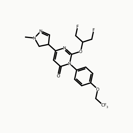 CN1CC(c2cc(=O)n(-c3ccc(OCC(F)(F)F)cc3)c(OC(CF)CF)n2)C=N1